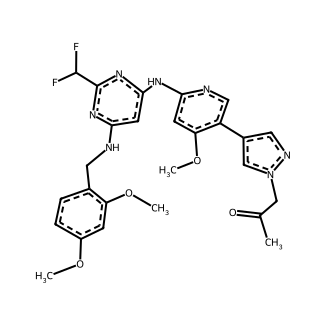 COc1ccc(CNc2cc(Nc3cc(OC)c(-c4cnn(CC(C)=O)c4)cn3)nc(C(F)F)n2)c(OC)c1